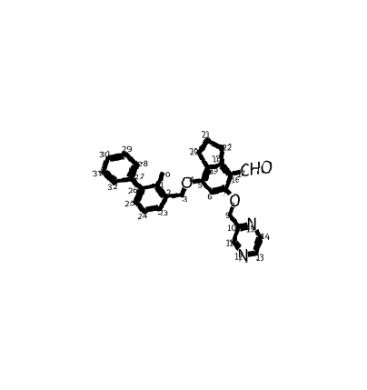 Cc1c(COc2cc(OCc3cnccn3)c(C=O)c3c2CCC3)cccc1-c1ccccc1